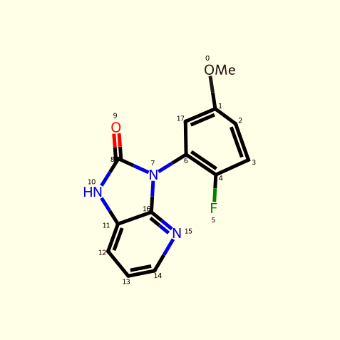 COc1ccc(F)c(-n2c(=O)[nH]c3cccnc32)c1